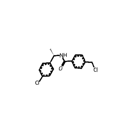 C[C@H](NC(=O)c1ccc(CCl)cc1)c1ccc(Cl)cc1